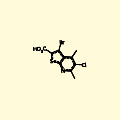 Cc1nc2sc(C(=O)O)c(Br)c2c(C)c1Cl